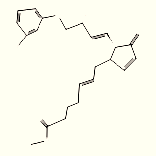 CC(C)OC(=O)CCC/C=C/CC1C=CC(=O)[C@@H]1/C=C/[C@@H](O)COc1cccc(Cl)c1